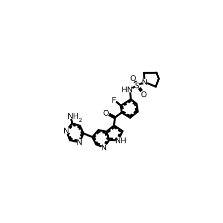 Nc1cc(-c2cnc3[nH]cc(C(=O)c4cccc(NS(=O)(=O)N5CCCC5)c4F)c3c2)ncn1